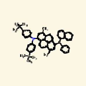 Cc1cc(B(c2ccccc2)c2cccc3ccccc23)c2ccc3c(C)cc(N(c4ccc([Si](C)(C)C)cc4)c4ccc([Si](C)(C)C)cc4)c4ccc1c2c34